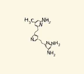 Cc1cc(N)nc(CCc2cncc(CCc3cc(N)cc(N)n3)c2)c1